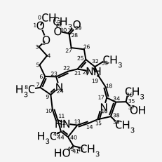 COOCCCC1=C(C)c2cc3[nH]c(cc4nc(cc5[nH]c(cc1n2)c(CCC(=O)OC)c5C)C(C(C)O)=C4C)c(C(C)O)c3C